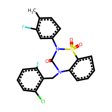 Cc1ccc(N2C(=O)N(Cc3c(F)cccc3Cl)c3ccccc3S2(=O)=O)cc1F